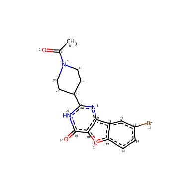 CC(=O)N1CCC(c2nc3c(oc4ccc(Br)cc43)c(=O)[nH]2)CC1